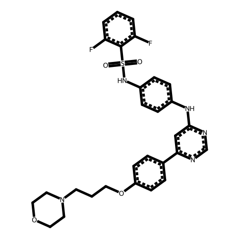 O=S(=O)(Nc1ccc(Nc2cc(-c3ccc(OCCCN4CCOCC4)cc3)ncn2)cc1)c1c(F)cccc1F